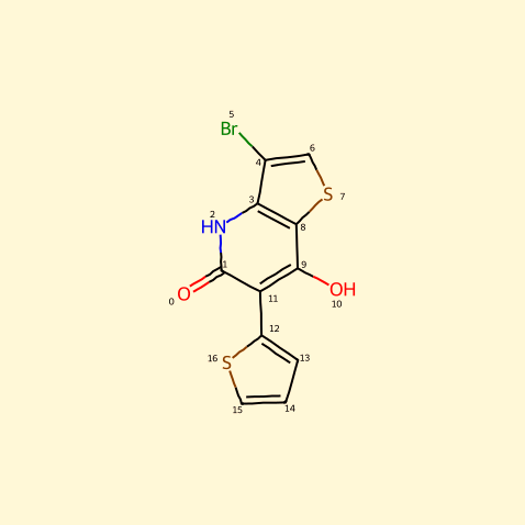 O=c1[nH]c2c(Br)csc2c(O)c1-c1cccs1